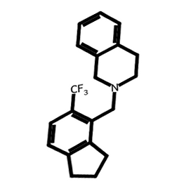 FC(F)(F)c1ccc2c(c1CN1CCc3ccccc3C1)CCC2